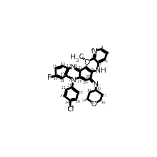 COc1ncccc1Nc1cc2nc3ccc(F)cc3n(-c3ccc(Cl)cc3)c-2c/c1=N\C1CCOCC1